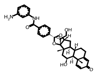 C[C@]12C=CC(=O)C=C1CC[C@@H]1[C@@H]2[C@@H](O)C[C@@]2(C)[C@H]1C[C@H]1O[C@@H](c3ccc(C(=O)Nc4cccc(N)c4)cc3)O[C@]12C(=O)CO